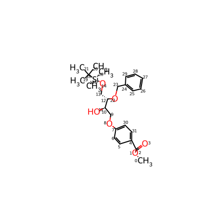 COC(=O)c1ccc(OC[C@@H](O)[C@H](CO[Si](C)(C)C(C)(C)C)OCc2ccccc2)cc1